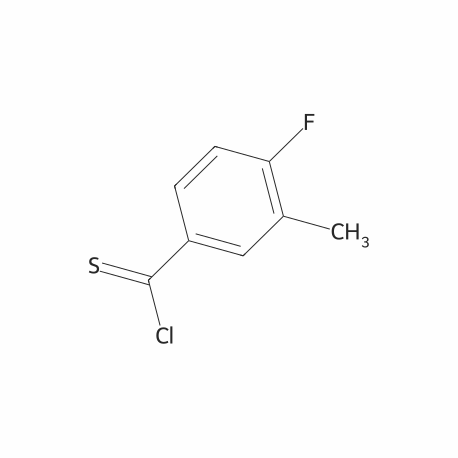 Cc1cc(C(=S)Cl)ccc1F